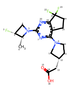 C[C@@H]1[C@H](F)CN1c1nc(N2CC[C@H](CC(=O)O)C2)c2c(n1)C(F)(F)CC2